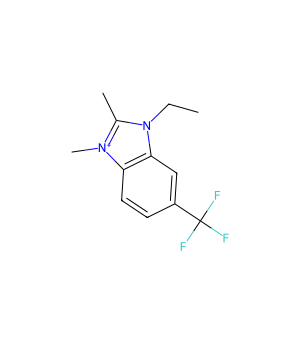 CCn1c(C)[n+](C)c2ccc(C(F)(F)F)cc21